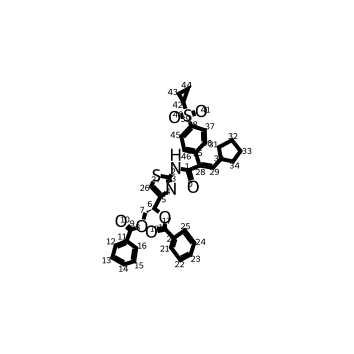 O=C(Nc1nc([C@@H](COC(=O)c2ccccc2)OC(=O)c2ccccc2)cs1)/C(=C/C1CCCC1)c1ccc(S(=O)(=O)C2CC2)cc1